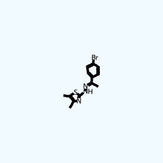 C/C(=N\Nc1nc(C)c(C)s1)c1ccc(Br)cc1